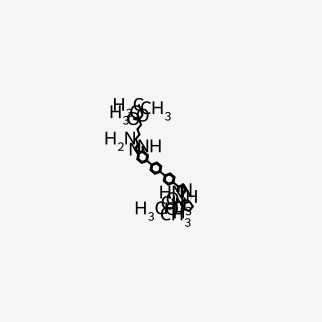 CC(C)(C)OC(=O)CCC[C@H](N)c1nc2ccc(-c3ccc(-c4ccc(-c5cnc([C@H]6[C@H]7CC[C@H](C7)N6C(=O)OC(C)(C)C)[nH]5)cc4)cc3)cc2[nH]1